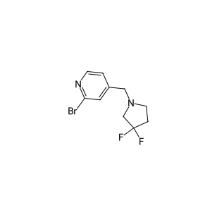 FC1(F)CCN(Cc2ccnc(Br)c2)C1